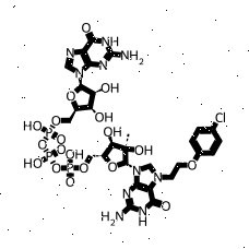 C[C@@]1(O)[C@H](O)[C@@H](COP(=O)(O)OP(=O)(O)OP(=O)(O)OC[C@H]2O[C@@H](n3cnc4c(=O)[nH]c(N)nc43)[C@H](O)[C@@H]2O)O[C@H]1N1CN(CCOc2ccc(Cl)cc2)c2c1nc(N)[nH]c2=O